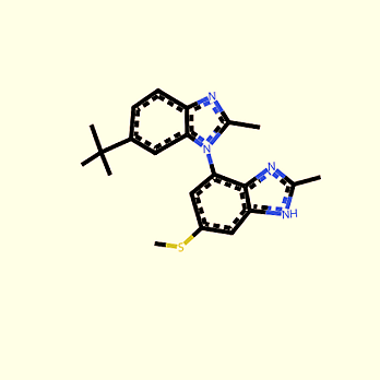 CSc1cc(-n2c(C)nc3ccc(C(C)(C)C)cc32)c2nc(C)[nH]c2c1